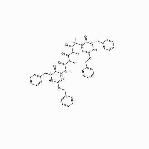 C[C@H](NC(=O)[C@H](Cc1ccccc1)NC(=O)OCc1ccccc1)C(=O)C(F)C(=O)C(F)C(=O)[C@H](C)NC(=O)[C@H](Cc1ccccc1)NC(=O)OCc1ccccc1